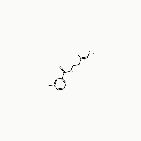 N/C=C(\S)CCNC(=O)c1cccc(F)c1